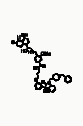 COc1cc(C(=O)NCCCOc2cccc([C@](O)(C(=O)OCC3CCN(Cc4ccccc4)CC3)c3ccccc3)c2)ccc1CNC[C@H](O)c1ccc(O)c2[nH]c(=O)ccc12